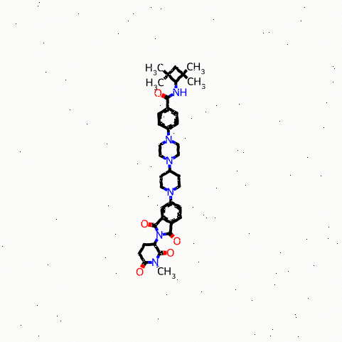 CN1C(=O)CCC(N2C(=O)c3ccc(N4CCC(N5CCN(c6ccc(C(=O)NC7C(C)(C)CC7(C)C)cc6)CC5)CC4)cc3C2=O)C1=O